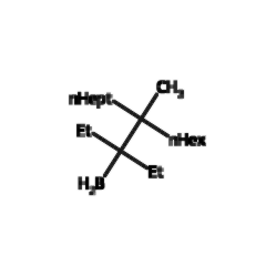 BC(CC)(CC)C(C)(CCCCCC)CCCCCCC